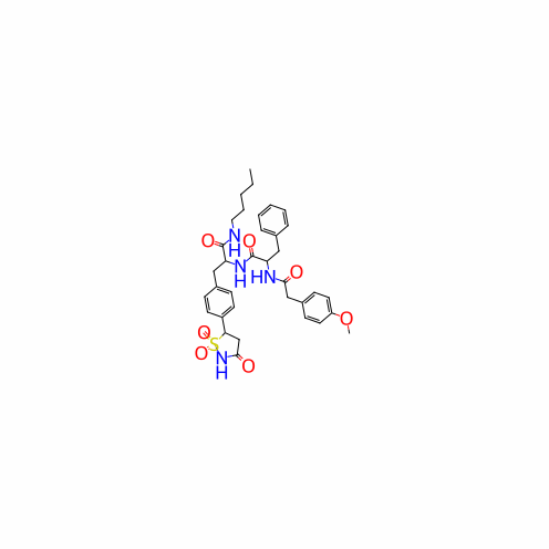 CCCCCNC(=O)C(Cc1ccc(C2CC(=O)NS2(=O)=O)cc1)NC(=O)C(Cc1ccccc1)NC(=O)Cc1ccc(OC)cc1